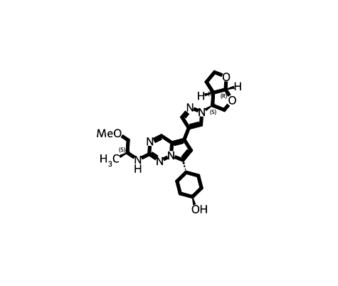 COC[C@H](C)Nc1ncc2c(-c3cnn([C@@H]4CO[C@H]5OCC[C@H]54)c3)cc([C@H]3CC[C@H](O)CC3)n2n1